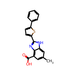 Cc1cc(C(=O)O)c2nc(-c3ccc(-c4ccccc4)s3)[nH]c2c1